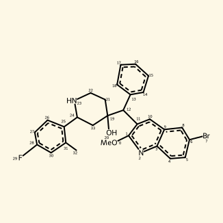 COc1nc2ccc(Br)cc2cc1C(c1ccccc1)C1(O)CCNC(c2ccc(F)cc2C)C1